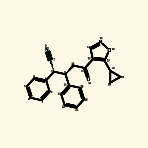 N#C[C@@H](c1ccccc1)[C@@H](CC(=O)c1cnoc1C1CC1)c1ccccc1